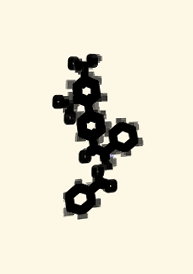 O=C(/C(=N\OC(=O)C1CCCCC1)C1CCCCC1)c1ccc(-c2ccc([N+](=O)[O-])cc2[N+](=O)[O-])cc1